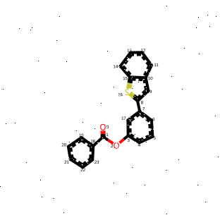 O=C(Oc1cccc(-c2[c]c3ccccc3s2)c1)c1ccccc1